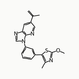 C=C(C)c1cnc2c(c1)ncn2-c1cccc(-c2sc(OC)nc2C)c1